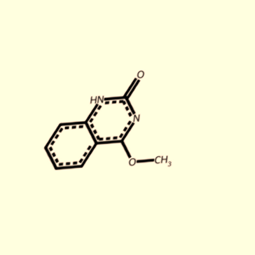 COc1nc(=O)[nH]c2ccccc12